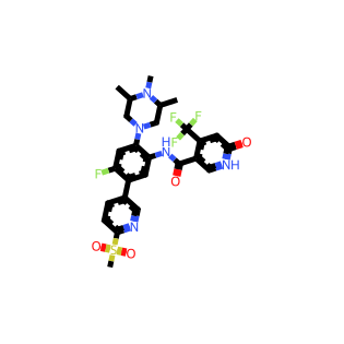 CC1CN(c2cc(F)c(-c3ccc(S(C)(=O)=O)nc3)cc2NC(=O)c2c[nH]c(=O)cc2C(F)(F)F)CC(C)N1C